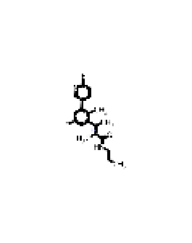 CCCNC(=O)/C(C)=C(\C)c1cc(F)cc(-c2ccc(F)nc2)c1C